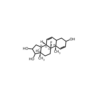 C[C@]12C=CC(O)CC1C=C[C@H]1[C@@H]3CC(O)C(O)[C@@]3(C)CC[C@]12F